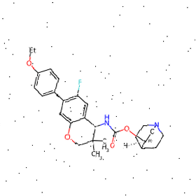 CCOc1ccc(-c2cc3c(cc2F)C(NC(=O)O[C@H]2CN4CCC2CC4)C(C)(C)CO3)cc1